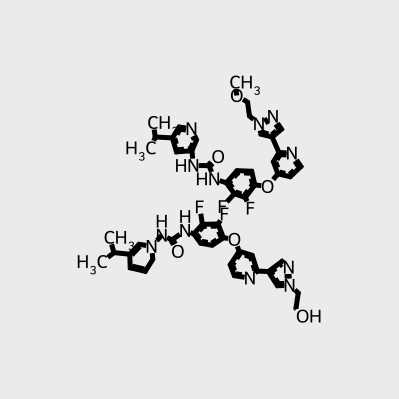 CC(C)C1=CN(NC(=O)Nc2ccc(Oc3ccnc(-c4cnn(CCO)c4)c3)c(F)c2F)CC=C1.COCCn1cc(-c2cc(Oc3ccc(NC(=O)Nc4cncc(C(C)C)c4)c(F)c3F)ccn2)cn1